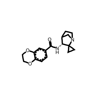 O=C(N[C@@H]1C2CCN(C2)C12CC2)c1ccc2c(c1)OCCO2